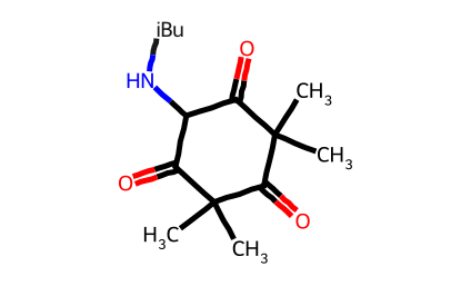 CCC(C)NC1C(=O)C(C)(C)C(=O)C(C)(C)C1=O